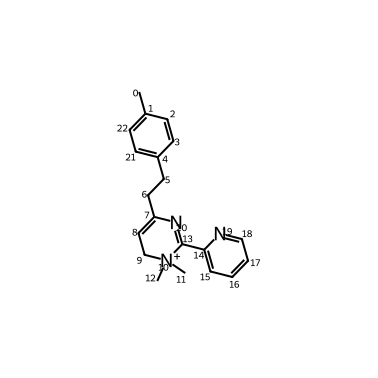 Cc1ccc(CCC2=CC[N+](C)(C)C(c3ccccn3)=N2)cc1